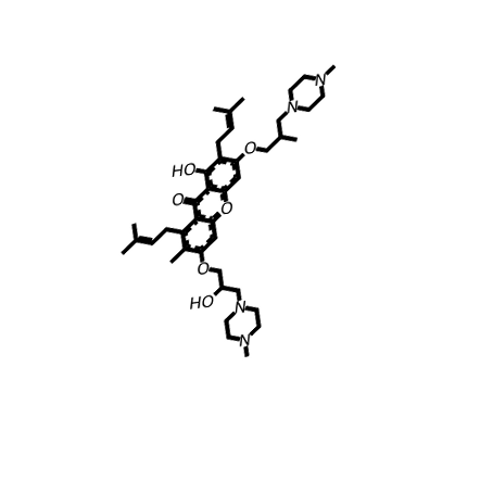 CC(C)=CCc1c(OCC(C)CN2CCN(C)CC2)cc2oc3cc(OCC(O)CN4CCN(C)CC4)c(C)c(CC=C(C)C)c3c(=O)c2c1O